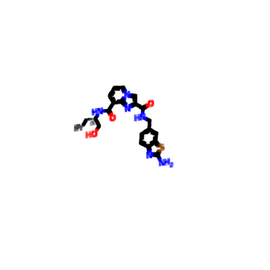 CC(C)C[C@@H](CO)NC(=O)c1cccn2cc(C(=O)NCc3ccc4nc(N)sc4c3)nc12